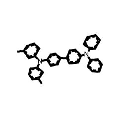 Cc1cccc(N(c2ccc(-c3ccc(N(c4ccccc4)c4ccccc4)cc3)cc2)c2cccc(C)c2)c1